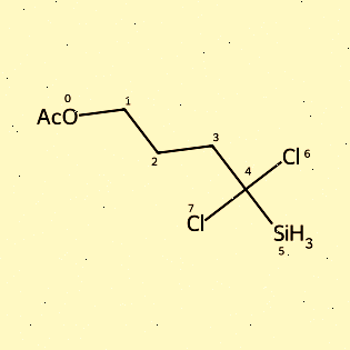 CC(=O)OCCCC([SiH3])(Cl)Cl